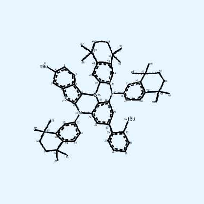 CC(C)(C)c1ccc2c3c(sc2c1)N(c1ccc2c(c1)C(C)(C)CCC2(C)C)c1cc(-c2ccccc2C(C)(C)C)cc2c1B3c1cc3c(cc1N2c1ccc2c(c1)C(C)(C)CCC2(C)C)C(C)(C)CCC3(C)C